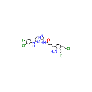 Nc1c(CCCC(=O)Nc2cnn3ccc(Nc4ccc(F)c(Cl)c4)nc23)ccc(CCCl)c1CCCl